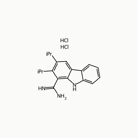 CC(C)c1cc2c([nH]c3ccccc32)c(C(=N)N)c1C(C)C.Cl.Cl